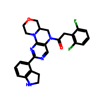 O=C(Cc1c(F)cccc1F)N1CC2COCCN2c2nc(-c3cccc4c3CCN4)ncc21